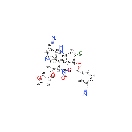 N#Cc1cccc(COc2ccc(Nc3c(C#N)cnc4cc(OC5CCOC5)c([N+](=O)[O-])cc34)cc2Cl)c1